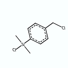 C[Si](C)(Cl)c1ccc(CCl)cc1